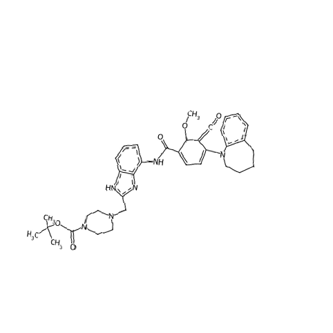 COC1C(=C=O)C(N2CCCCc3ccccc32)=CC=C1C(=O)Nc1cccc2[nH]c(CN3CCN(C(=O)OC(C)(C)C)CC3)nc12